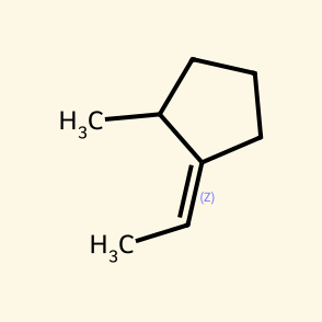 C/C=C1/CCCC1C